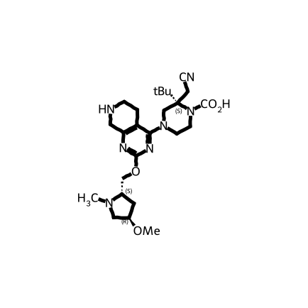 CO[C@@H]1C[C@@H](COc2nc3c(c(N4CCN(C(=O)O)[C@@](CC#N)(C(C)(C)C)C4)n2)CCNC3)N(C)C1